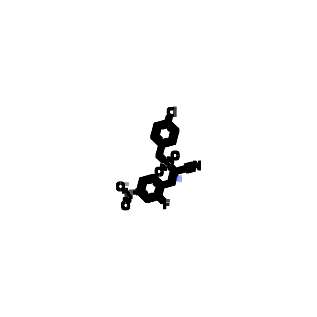 N#C/C(=C/c1ccc([N+](=O)[O-])cc1F)S(=O)(=O)Cc1ccc(Cl)cc1